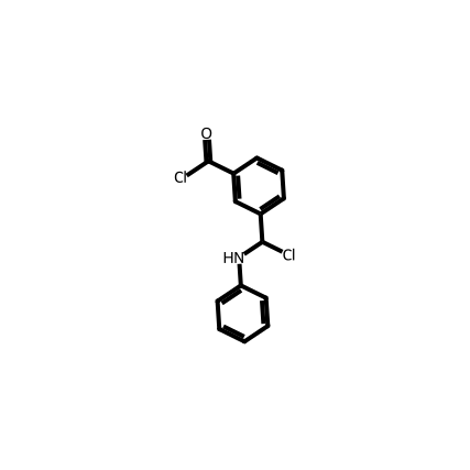 O=C(Cl)c1cccc(C(Cl)Nc2ccccc2)c1